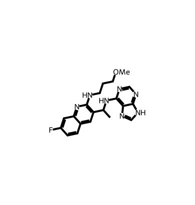 COCCCNc1nc2cc(F)ccc2cc1C(C)Nc1ncnc2[nH]cnc12